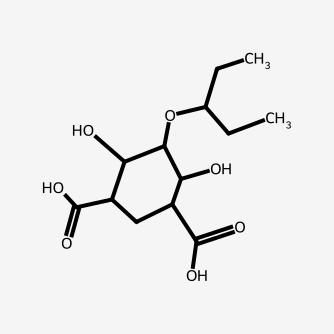 CCC(CC)OC1C(O)C(C(=O)O)CC(C(=O)O)C1O